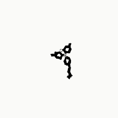 CCCCc1ccc(N2C3C=CC(C)=CC3OC3C=C(C)C=CC32)cc1